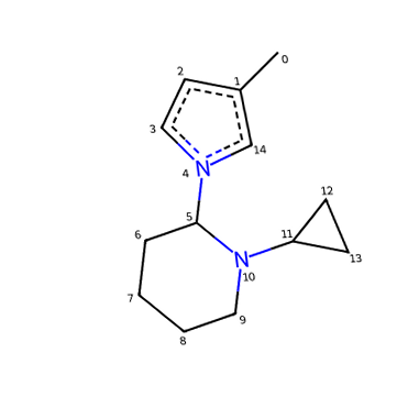 Cc1ccn(C2CCCCN2C2CC2)c1